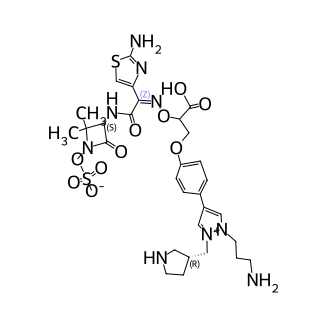 CC1(C)[C@H](NC(=O)/C(=N\OC(COc2ccc(-c3cn(CCCN)[n+](C[C@@H]4CCNC4)c3)cc2)C(=O)O)c2csc(N)n2)C(=O)N1OS(=O)(=O)[O-]